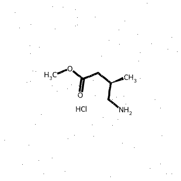 COC(=O)C[C@@H](C)CN.Cl